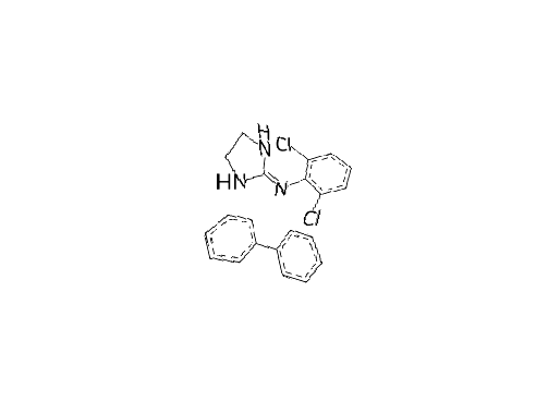 Clc1cccc(Cl)c1N=C1NCCN1.c1ccc(-c2ccccc2)cc1